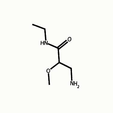 CCNC(=O)C(CN)OC